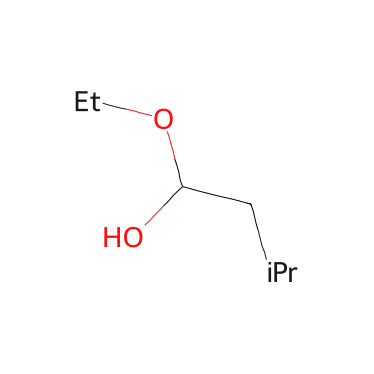 [CH2]COC(O)CC(C)C